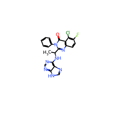 CC(Nc1ncnc2[nH]cnc12)c1nc2ccc(F)c(Cl)c2c(=O)n1-c1ccccc1